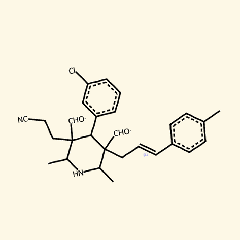 Cc1ccc(/C=C/CC2([C]=O)C(C)NC(C)C([C]=O)(CCC#N)C2c2cccc(Cl)c2)cc1